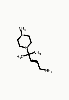 CN1CCN(C(C)(C)C=CCN)CC1